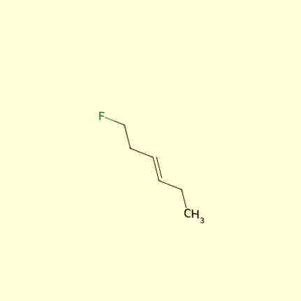 CC/C=C/CCF